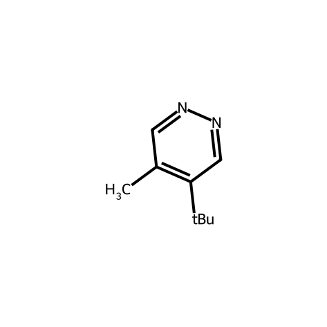 Cc1cnncc1C(C)(C)C